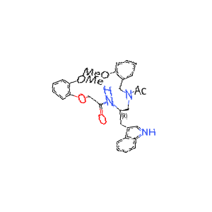 COc1ccccc1CN(C[C@@H](Cc1c[nH]c2ccccc12)NC(=O)COc1ccccc1OC)C(C)=O